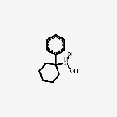 O[SiH](O)C1(c2ccccc2)CCCCC1